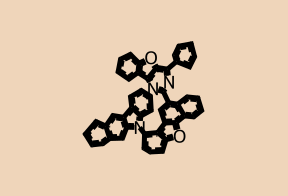 c1ccc(-c2nc(-c3cc4c(oc5cccc(-n6c7ccccc7c7cc8ccccc8cc76)c54)c4ccccc34)nc3c2oc2ccccc23)cc1